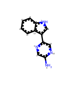 Nc1cnc(-c2c[nH]c3ccccc23)cn1